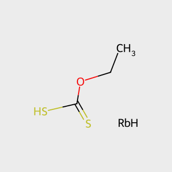 CCOC(=S)S.[RbH]